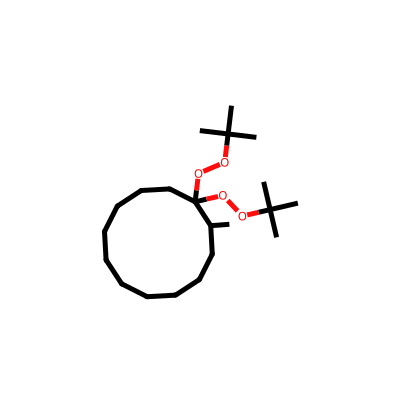 CC1CCCCCCCCCCC1(OOC(C)(C)C)OOC(C)(C)C